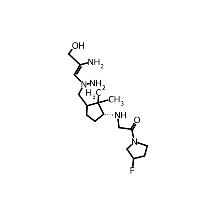 CC1(C)C(CN(N)/C=C(\N)CO)CC[C@H]1NCC(=O)N1CCC(F)C1